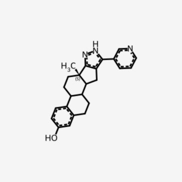 C[C@]12CCC3c4ccc(O)cc4CCC3C1Cc1c2n[nH]c1-c1cccnc1